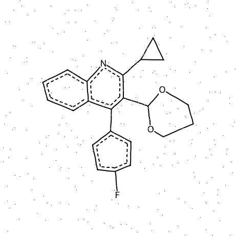 Fc1ccc(-c2c(C3OCCCO3)c(C3CC3)nc3ccccc23)cc1